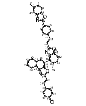 Cc1ccc2oc(-c3ccc(C=Cc4nc5c(-c6cc7ccccc7c7nc(C=Cc8ccc(Cl)cc8)oc67)c(C)ccc5o4)cc3)nc2c1